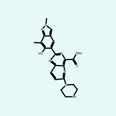 CNC(=O)c1nc(-c2cc3cn(C)nc3c(C)c2O)nc2ccc(N3CCNCC3)nc12